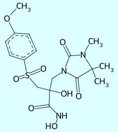 COc1ccc(S(=O)(=O)CC(O)(CN2C(=O)N(C)C(C)(C)C2=O)C(=O)NO)cc1